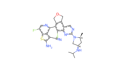 CC(C)N[C@@H]1C[C@H](C)N(c2ncc3c4c(c(-c5ncc(F)c6sc(N)c(C#N)c56)c(F)c3n2)COC4)C1